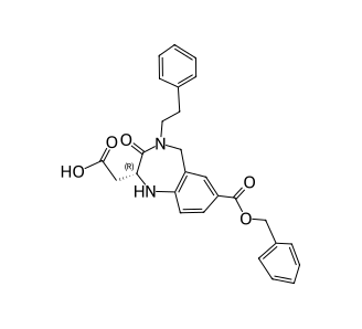 O=C(O)C[C@H]1Nc2ccc(C(=O)OCc3ccccc3)cc2CN(CCc2ccccc2)C1=O